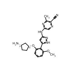 COc1cccc(O[C@@H]2CC[C@H](N)C2)c1-c1cc(Nc2cnc(C#N)c(C)n2)n[nH]1